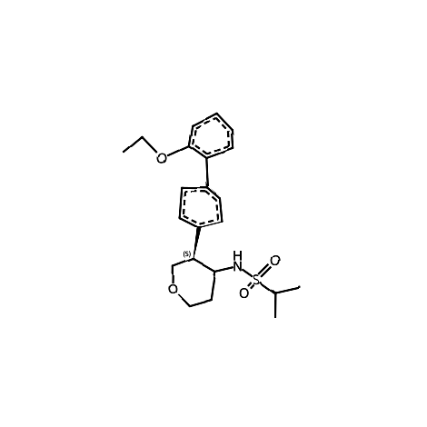 CCOc1ccccc1-c1ccc([C@@H]2COCCC2NS(=O)(=O)C(C)C)cc1